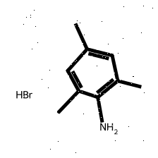 Br.Cc1cc(C)c(N)c(C)c1